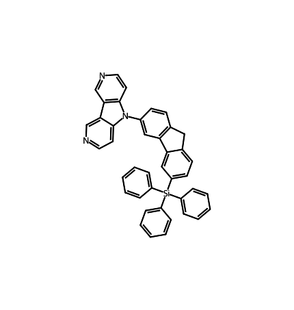 c1ccc([Si](c2ccccc2)(c2ccccc2)c2ccc3c(c2)-c2cc(-n4c5ccncc5c5cnccc54)ccc2C3)cc1